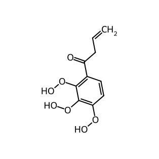 C=CCC(=O)c1ccc(OO)c(OO)c1OO